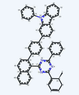 C[C@H]1CC=CC=C1c1nc(-c2ccccc2)nc(-c2c(-c3ccc(-c4ccc5c6ccccc6n(-c6ccccc6)c5c4)cc3)ccc3ccccc23)n1